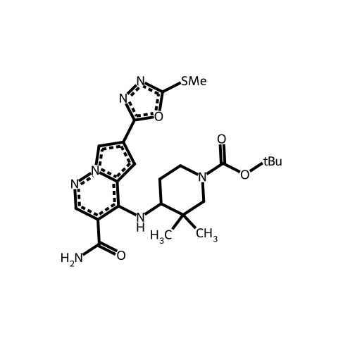 CSc1nnc(-c2cc3c(NC4CCN(C(=O)OC(C)(C)C)CC4(C)C)c(C(N)=O)cnn3c2)o1